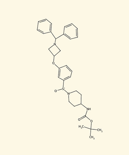 CC(C)(C)OC(=O)NC1CCN([S+]([O-])c2cccc(OC3CN(C(c4ccccc4)c4ccccc4)C3)c2)CC1